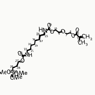 C=C(C)C(=O)OCCOCCOC(=O)NCCCCCCCCNC(=O)OCCC[Si](OC)(OC)OC